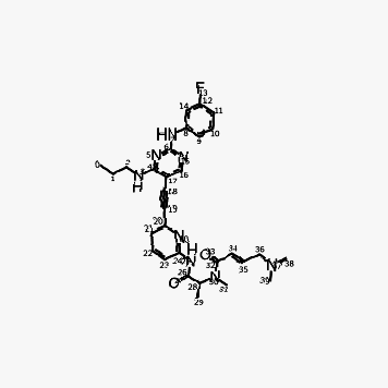 CCCNc1nc(Nc2cccc(F)c2)ncc1C#CC1CC=CC(NC(=O)[C@H](C)N(C)C(=O)/C=C/CN(C)C)=N1